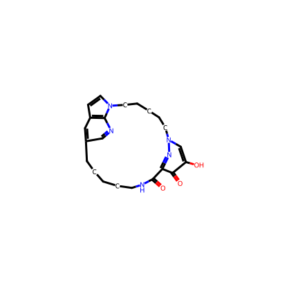 O=C1NCCCCCc2cnc3c(ccn3CCCCCn3cc(O)c(=O)c1n3)c2